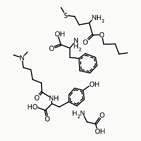 CCCCOC(=O)C(N)CCSC.CN(C)CCCCC(=O)NC(Cc1ccc(O)cc1)C(=O)O.NC(Cc1ccccc1)C(=O)O.NCC(=O)O